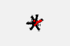 CC(C)CCCCC[Si]1(O)O[Si]2(CCCCCC(C)C)O[Si](O)(CCCCCC(C)C)O[Si@]3(CCCCCC(C)C)O[Si@](O)(CCCCCC(C)C)O[Si@](CCCCCC(C)C)(O1)O[Si@](CCCCCC(C)C)(O2)O3